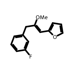 COC(=Cc1ccco1)Cc1cccc(F)c1